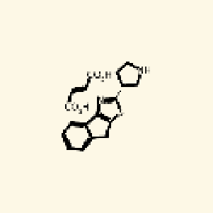 O=C(O)C=CC(=O)O.c1ccc2c(c1)Cc1sc([C@@H]3CCNC3)nc1-2